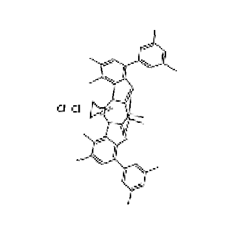 Cc1cc(C)cc(-c2cc(C)c(C)c3c2C=C(C(C)C)[CH]3[Zr+2]2([CH]3C(C(C)C)=Cc4c(-c5cc(C)cc(C)c5)cc(C)c(C)c43)[CH2][CH2]2)c1.[Cl-].[Cl-]